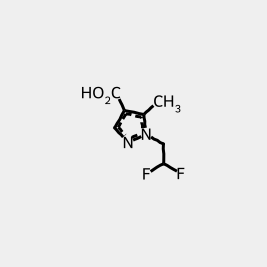 Cc1c(C(=O)O)cnn1CC(F)F